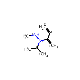 C=CC(=C)N(NC)C(C)C